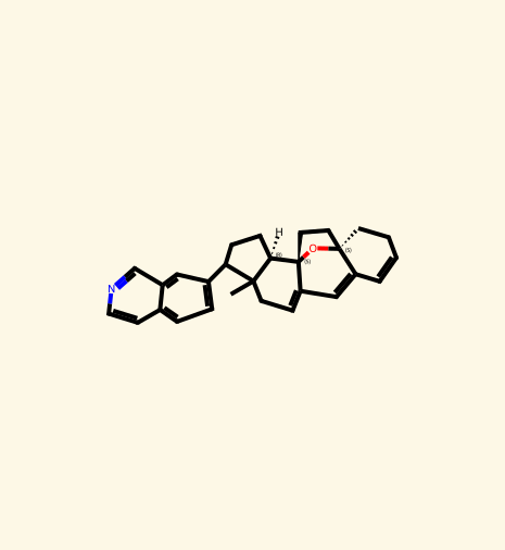 CC12CC=C3C=C4C=CCC[C@]45CC[C@]3(O5)[C@@H]1CCC2c1ccc2ccncc2c1